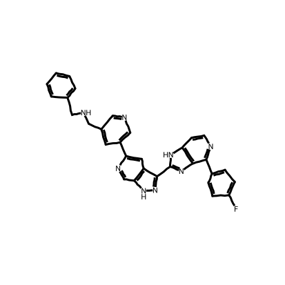 Fc1ccc(-c2nccc3[nH]c(-c4n[nH]c5cnc(-c6cncc(CNCc7ccccc7)c6)cc45)nc23)cc1